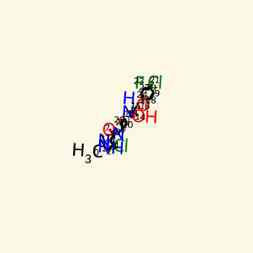 Cn1cc(Cl)c(C(=O)NC23CC(NC(O)COc4ccc(Cl)c(F)c4)(C2)C3)n1